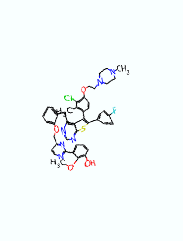 COc1c(O)cccc1-c1nccc(COc2ccccc2Cc2ncnc3sc(-c4ccc(F)cc4)c(-c4ccc(OCCN5CCN(C)CC5)c(Cl)c4C)c23)n1